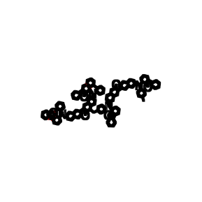 Cc1ccc(N(c2ccc3cc4oc5cc6ccc(N(c7ccc(Cc8c9ccc(N(c%10ccccc%10-c%10ccccc%10)c%10cccc%11c%10oc%10ccccc%10%11)cc9cc9c8oc8cc%10ccc(N(c%11ccccc%11-c%11ccccc%11)c%11cccc%12c%11oc%11ccccc%11%12)cc%10cc89)cc7)c7cccc8c7oc7ccccc78)cc6cc5c4cc3c2)c2cccc3c2oc2ccccc23)cc1